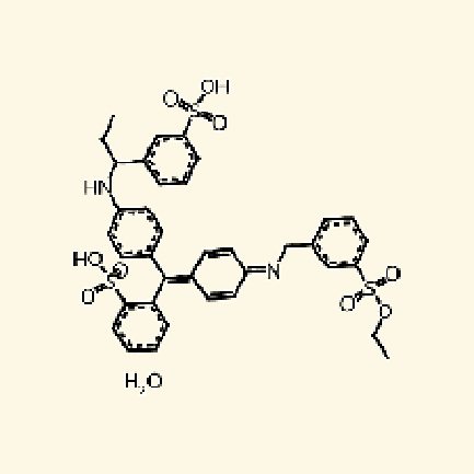 CCOS(=O)(=O)c1cccc(CN=C2C=CC(=C(c3ccc(NC(CC)c4cccc(S(=O)(=O)O)c4)cc3)c3ccccc3S(=O)(=O)O)C=C2)c1.O